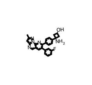 Cc1cc2ncc3cc(-c4cccc(F)c4)c(-c4ccc([C@]5(N)C[C@H](O)C5)cc4)nc3n2n1